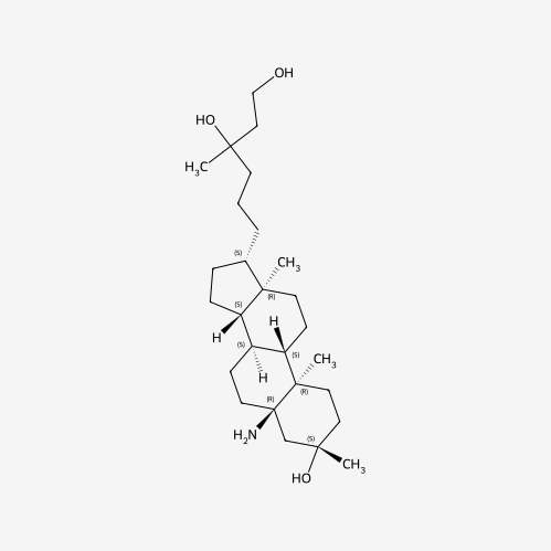 CC(O)(CCO)CCC[C@H]1CC[C@H]2[C@@H]3CC[C@@]4(N)C[C@@](C)(O)CC[C@]4(C)[C@H]3CC[C@]12C